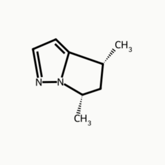 C[C@@H]1C[C@H](C)n2nccc21